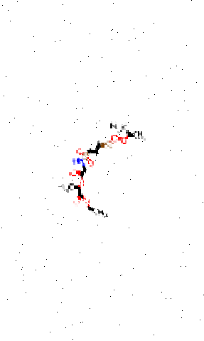 CCOC(=O)C(C)OC(=O)CNS(=O)(=O)CCCSOOC(C)C